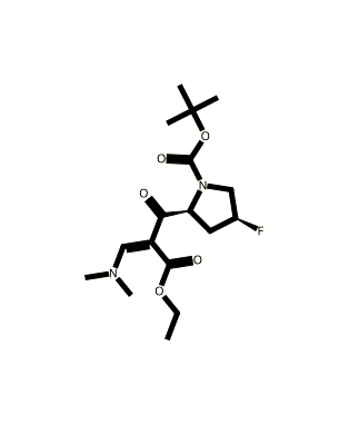 CCOC(=O)/C(=C\N(C)C)C(=O)[C@@H]1C[C@H](F)CN1C(=O)OC(C)(C)C